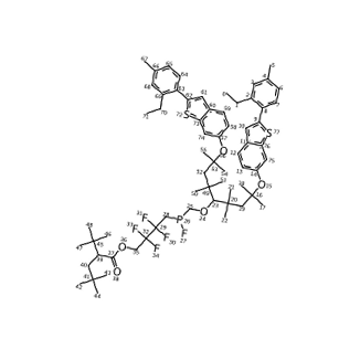 CCc1cc(C)ccc1-c1cc2ccc(OC(C)(C)CC(C)(C)C(OCP(F)CC(F)(F)C(F)(F)COC(=O)C(CC(C)(C)C)C(C)(C)C)C(C)(C)CC(C)(C)Oc3ccc4cc(-c5ccc(C)cc5CC)sc4c3)cc2s1